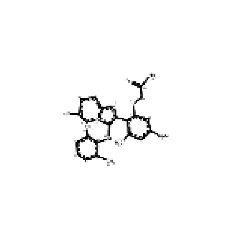 COc1cc(C)c(-c2nc3ccc(F)cn3c2Nc2c(C)cccc2C)c(OCC(N)=O)c1